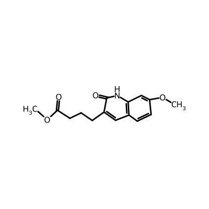 COC(=O)CCCc1cc2ccc(OC)cc2[nH]c1=O